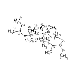 CCC(CC)C(C)C(N)PC(C)C(C)(C)C(C)(C)C(C)(C)CP(C)CC